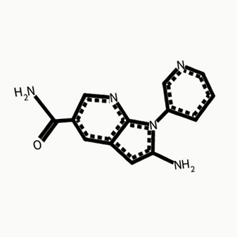 NC(=O)c1cnc2c(c1)cc(N)n2-c1cccnc1